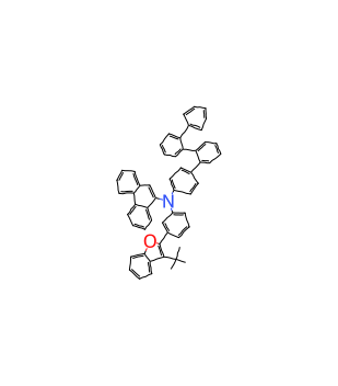 CC(C)(C)c1c(-c2cccc(N(c3ccc(-c4ccccc4-c4ccccc4-c4ccccc4)cc3)c3cc4ccccc4c4ccccc34)c2)oc2ccccc12